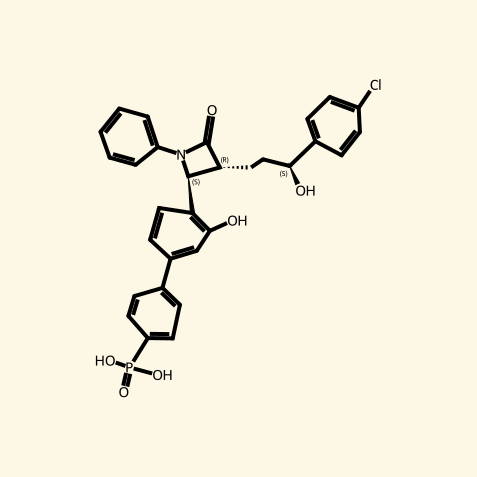 O=C1[C@H](CC[C@H](O)c2ccc(Cl)cc2)[C@@H](c2ccc(-c3ccc(P(=O)(O)O)cc3)cc2O)N1c1ccccc1